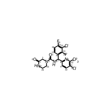 O=C1CN(C(=O)NC(c2ccc(Cl)c(C(F)(F)F)n2)c2ccc(F)c(Cl)c2F)CCN1